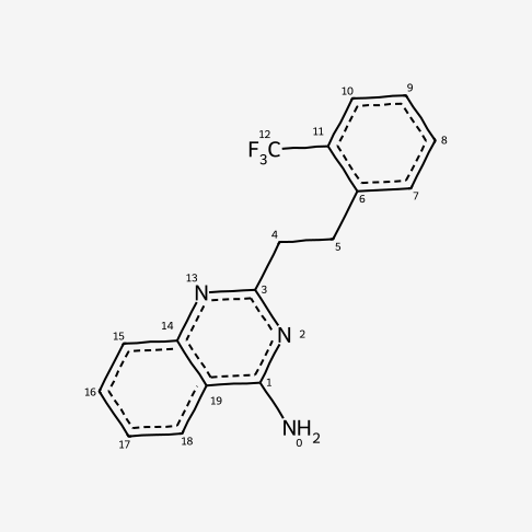 Nc1nc(CCc2ccccc2C(F)(F)F)nc2ccccc12